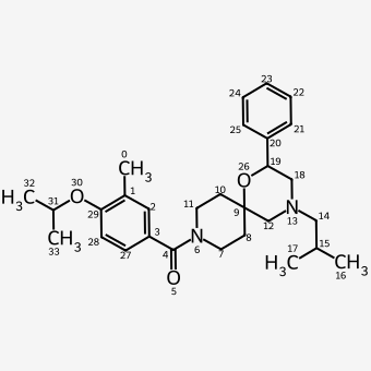 Cc1cc(C(=O)N2CCC3(CC2)CN(CC(C)C)CC(c2ccccc2)O3)ccc1OC(C)C